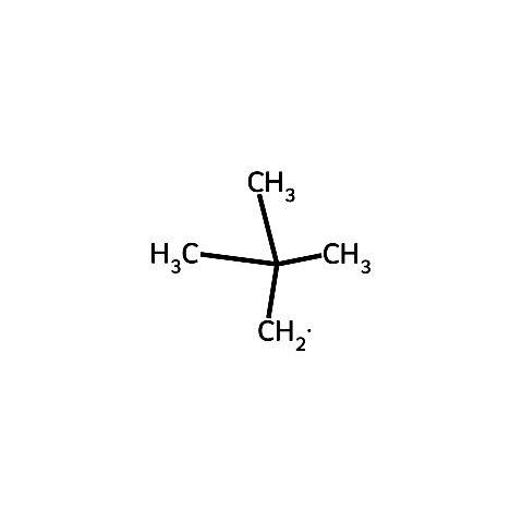 [CH2]C(C)(C)C